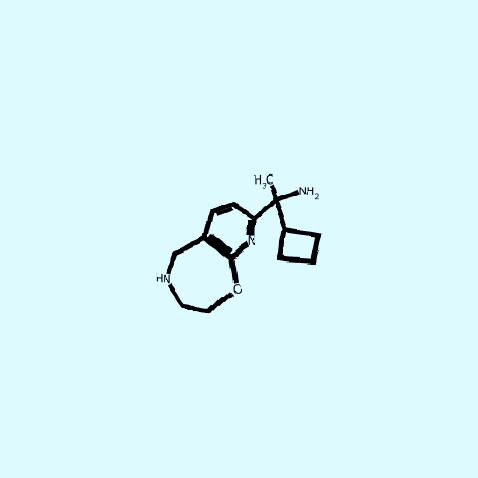 CC(N)(c1ccc2c(n1)OCCNC2)C1CCC1